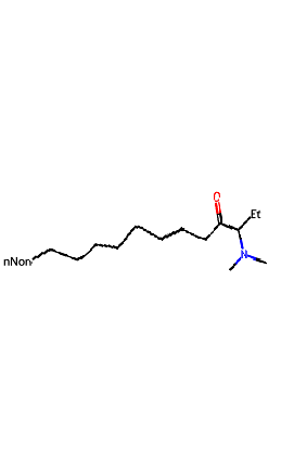 CCCCCCCCCCCCCCCCCC(=O)C(CC)N(C)C